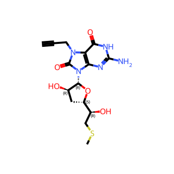 C#CCn1c(=O)n([C@@H]2O[C@H]([C@@H](O)CSC)C[C@H]2O)c2nc(N)[nH]c(=O)c21